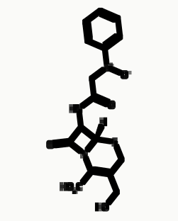 O=C(C[S+]([O-])c1ccccc1)NC1C(=O)N2C(C(=O)O)=C(CO)CS[C@@H]12